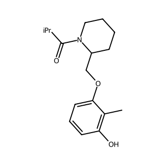 Cc1c(O)cccc1OCC1CCCCN1C(=O)C(C)C